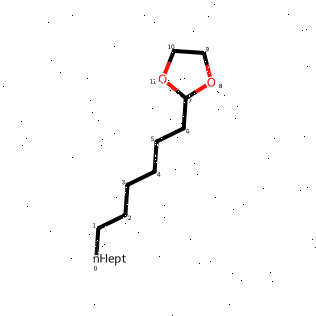 CCCCCCCCCCCCCC1OCCO1